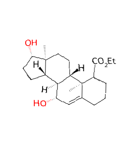 CCOC(=O)C1CCCC2=C[C@H](O)[C@H]3[C@@H]4CC[C@H](O)[C@@]4(C)CC[C@@H]3[C@]21C